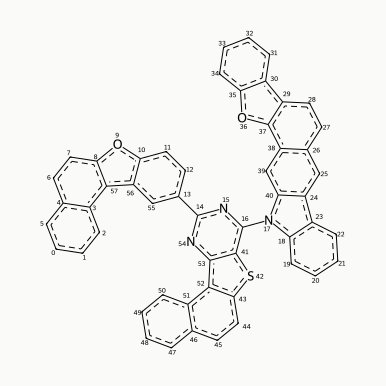 c1ccc2c(c1)ccc1oc3ccc(-c4nc(-n5c6ccccc6c6cc7ccc8c9ccccc9oc8c7cc65)c5sc6ccc7ccccc7c6c5n4)cc3c12